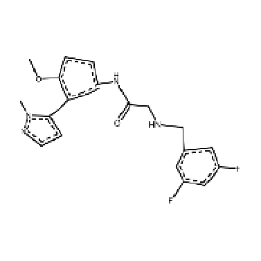 COc1ccc(NC(=O)CNCc2cc(F)cc(F)c2)cc1-c1ccnn1C